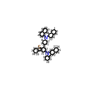 c1ccc2cc(N(c3ccc(-c4cc(-n5c6ccccc6c6cc7ccccc7cc65)cc5c4sc4ccccc45)cc3)c3cccc4ccccc34)ccc2c1